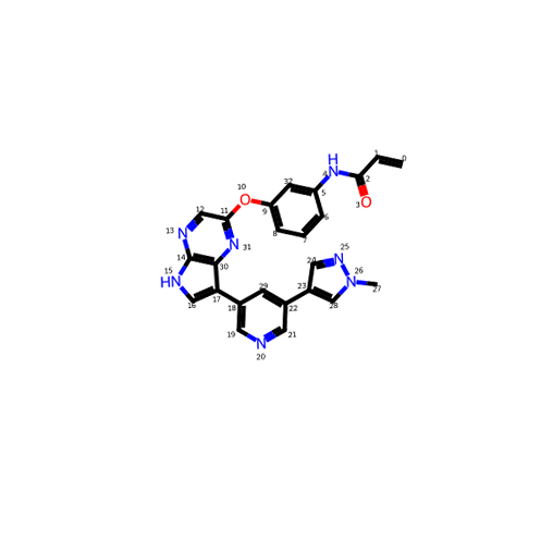 C=CC(=O)Nc1cccc(Oc2cnc3[nH]cc(-c4cncc(-c5cnn(C)c5)c4)c3n2)c1